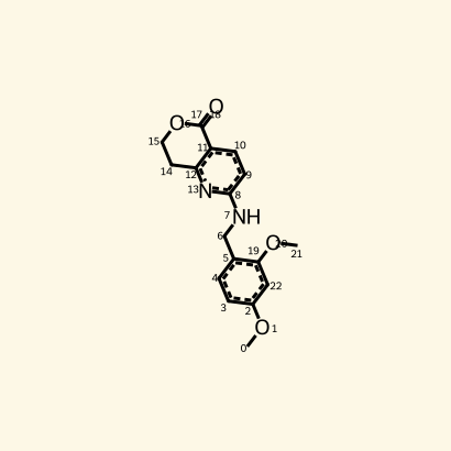 COc1ccc(CNc2ccc3c(n2)CCOC3=O)c(OC)c1